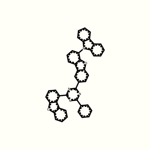 c1ccc(-c2nc(-c3ccc4oc5c(-n6c7ccccc7c7ccccc76)cccc5c4c3)nc(-c3cccc4oc5ccccc5c34)n2)cc1